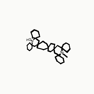 CN1C2(CCCCC2)CC2(CCC3(CC2)CCC2(CC3)CC3(CCCCC3)N(O)C3(CCCCC3)C2)CC12CCCCC2